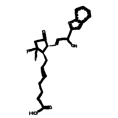 O=C(O)CCCC=CC[C@@H]1[C@@H](C=CC(O)c2cc3ccccc3s2)C(=O)CC1(F)F